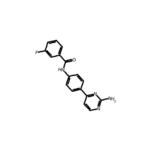 Nc1nccc(-c2ccc(NC(=O)c3cccc(F)c3)cc2)n1